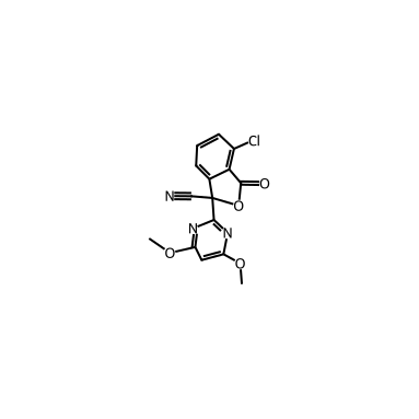 COc1cc(OC)nc(C2(C#N)OC(=O)c3c(Cl)cccc32)n1